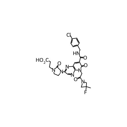 CC1(F)CN(C(=O)Cn2c(=O)c(C(=O)NCc3ccc(Cl)cc3)cc3nc(N4CCN(CCC(=O)O)C4=O)cnc32)C1